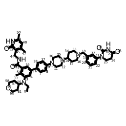 CCN(c1cc(-c2ccc(N3CCN(C4CCN(Cc5cccc(N6CCC(=O)NC6=O)c5)CC4)CC3)cc2)cc(C(=O)NCc2c(C)cc(C)[nH]c2=O)c1C)C1CCOCC1